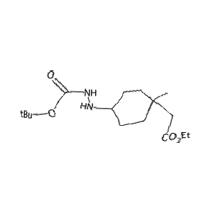 CCOC(=O)CC1(C)CCC(NNC(=O)OC(C)(C)C)CC1